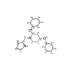 [c]1cnc(CN2CCC(Oc3ccccc3)CC2Oc2ccccc2)s1